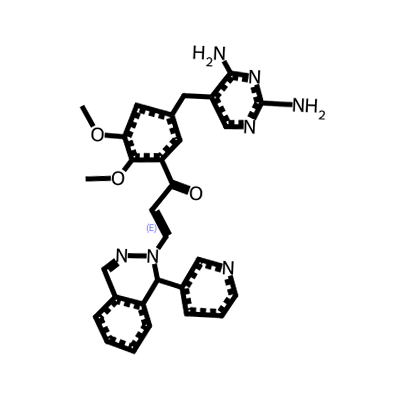 COc1cc(Cc2cnc(N)nc2N)cc(C(=O)/C=C/N2N=Cc3ccccc3C2c2cccnc2)c1OC